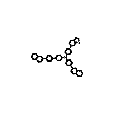 c1ccc2cc(-c3ccc(-c4ccc(N(c5ccc(-c6ccc7ccccc7c6)cc5)c5ccc(-c6ccc7ccsc7c6)cc5)cc4)cc3)ccc2c1